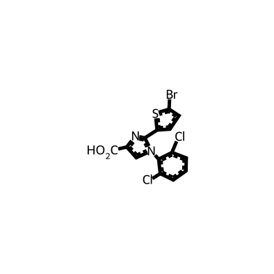 O=C(O)c1cn(-c2c(Cl)cccc2Cl)c(-c2ccc(Br)s2)n1